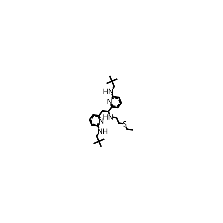 CCSCCNC(Cc1cccc(NCC(C)(C)C)n1)c1cccc(NCC(C)(C)C)n1